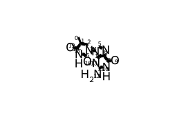 Cc1cn(-n2cnc3c(=O)[nH]c(N)nc32)c(=O)[nH]c1=O